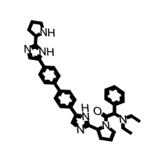 CCN(CC)C(C(=O)N1CCCC1c1ncc(-c2ccc(-c3ccc(-c4cnc(C5CCCN5)[nH]4)cc3)cc2)[nH]1)c1ccccc1